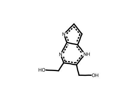 OCc1nc2nccc-2[nH]c1CO